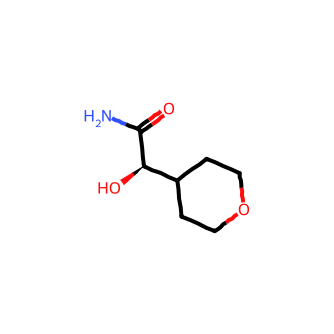 NC(=O)[C@H](O)C1CCOCC1